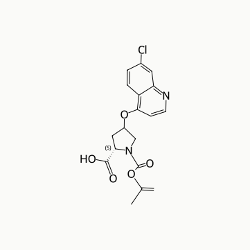 C=C(C)OC(=O)N1CC(Oc2ccnc3cc(Cl)ccc23)C[C@H]1C(=O)O